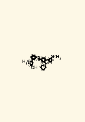 COc1ccc(F)c(-c2ccc(COc3cccc([C@H](C)CC(=O)O)c3)cc2CN2CCCCC2)c1